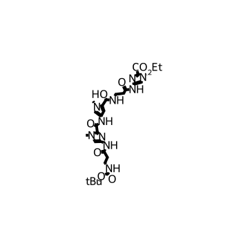 CCOC(=O)c1nc(NC(=O)CCNC(O)c2cc(NC(=O)c3nc(NC(=O)CCNC(=O)OC(C)(C)C)cn3C)cn2C)cn1C